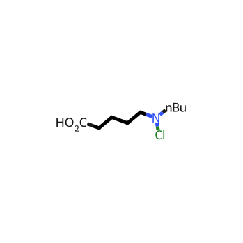 CCCCN(Cl)CCCCC(=O)O